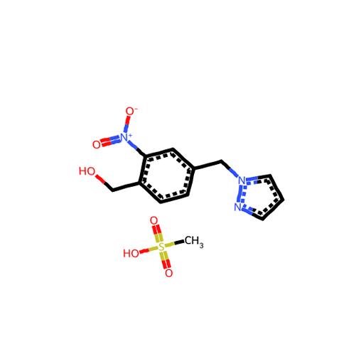 CS(=O)(=O)O.O=[N+]([O-])c1cc(Cn2cccn2)ccc1CO